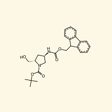 CC(C)(C)OC(=O)N1C[C@H](NC(=O)OCC2c3ccccc3-c3ccccc32)C[C@H]1CO